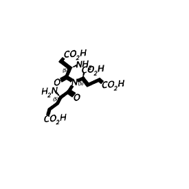 N[C@@H](CCC(=O)O)C(=O)N(C(=O)[C@@H](N)CC(=O)O)[C@@H](CCC(=O)O)C(=O)O